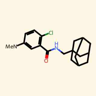 CNc1ccc(Cl)c(C(=O)NCC23CC4CC(CC(C4)C2)C3)c1